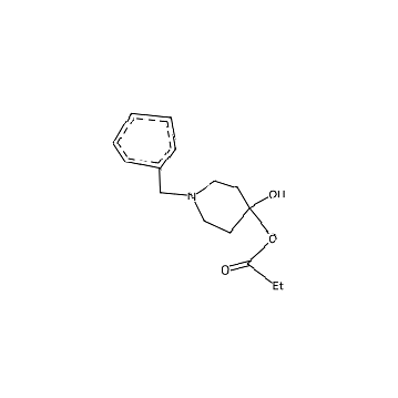 CCC(=O)OC1(O)CCN(Cc2ccccc2)CC1